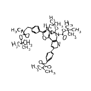 CC(C)S(=O)(=O)c1ccc(-c2cnc(N(C(=O)OC(C)(C)C)C(=O)OC(C)(C)C)c(-c3nnc(-c4ccc(CN(C)C(=O)OC(C)(C)C)cc4)o3)c2)cc1